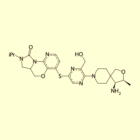 CC(C)N1CC2COc3c(Sc4cnc(N5CCC6(CC5)CO[C@@H](C)[C@H]6N)c(CO)n4)ccnc3N2C1=O